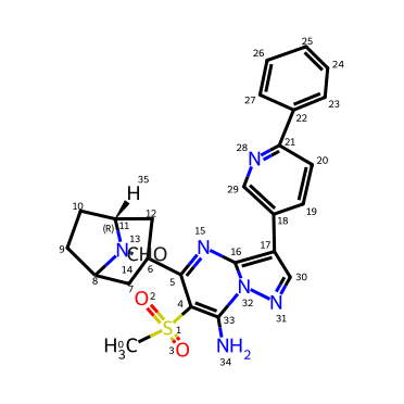 CS(=O)(=O)c1c(C2CC3CC[C@H](C2)N3C=O)nc2c(-c3ccc(-c4ccccc4)nc3)cnn2c1N